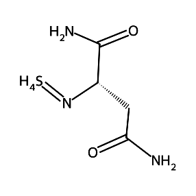 NC(=O)C[C@H](N=[SH4])C(N)=O